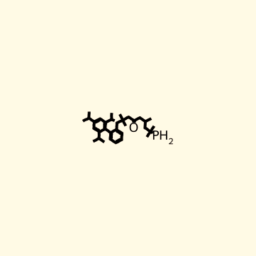 CC(CC(=O)CC(C)(C)Cc1ccccc1-c1c(C(C)C)cc(C(C)C)cc1C(C)C)CC(C)(C)P